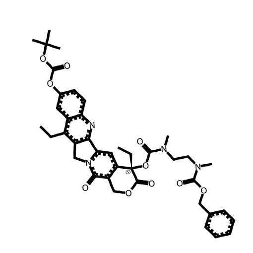 CCc1c2c(nc3ccc(OC(=O)OC(C)(C)C)cc13)-c1cc3c(c(=O)n1C2)COC(=O)[C@@]3(CC)OC(=O)N(C)CCN(C)C(=O)OCc1ccccc1